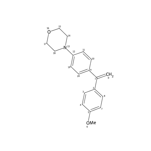 C=C(c1ccc(OC)cc1)c1ccc(N2CCOCC2)cc1